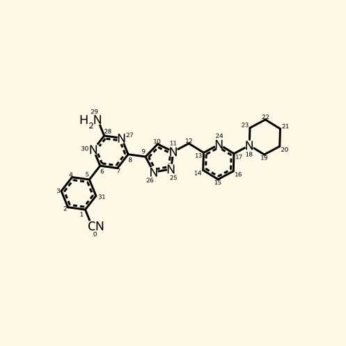 N#Cc1cccc(-c2cc(-c3cn(Cc4cccc(N5CCCCC5)n4)nn3)nc(N)n2)c1